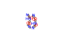 O=C(NCc1ccc(S(=O)(=O)c2ccc3ncccc3c2)cc1)c1cc2ccncc2s1.O=C(NCc1ccc(S(=O)(=O)c2cccc(N3CCCCC3)c2)cc1)c1cc2ccncc2s1